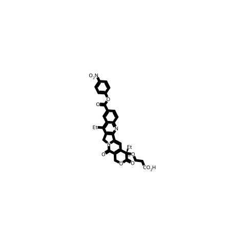 CCc1c2c(nc3ccc(C(=O)Oc4ccc([N+](=O)[O-])cc4)cc13)-c1cc3c(c(=O)n1C2)COC(=O)[C@@]3(CC)OCCC(=O)O